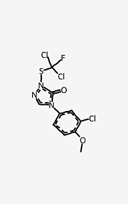 COc1ccc(-n2cnn(SC(F)(Cl)Cl)c2=O)cc1Cl